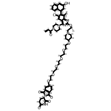 C=CC(=O)N1CCN(c2nc(O[C@H](C)CN3CCC(OCCOCCOCCOCCOCCOc4ccc5c(c4)C(=O)N(C4CCC(=O)NC4=O)C5=O)CC3)nc3c(F)c(-c4cc(O)cc5ccccc45)c(Cl)cc23)CC1